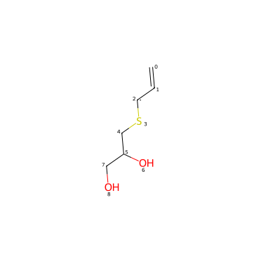 C=C[CH]SCC(O)CO